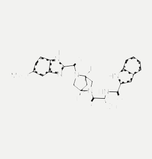 COc1ccc2[nH]c(C(=O)N3C[C@@H]4C[C@H]3CN4C(=O)[C@@H](NC(=O)c3cc4ccccc4[nH]3)C(C)(C)C)nc2c1